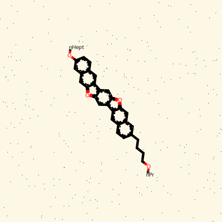 CCCCCCCOc1ccc2cc3c(cc2c1)oc1cc2c(cc13)oc1cc3cc(CCCCOCCC)ccc3cc12